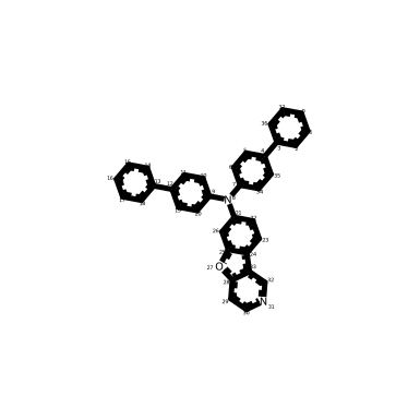 c1ccc(-c2ccc(N(c3ccc(-c4ccccc4)cc3)c3ccc4c(c3)oc3ccncc34)cc2)cc1